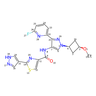 CCO[C@H]1C[C@@H](n2cc(NC(=O)c3csc(-c4cn[nH]c4)n3)c(-c3cccc(F)n3)n2)C1